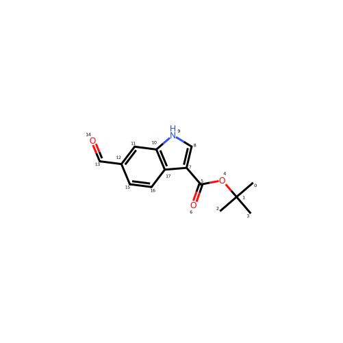 CC(C)(C)OC(=O)c1c[nH]c2cc(C=O)ccc12